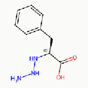 NNN[C@@H](Cc1ccccc1)C(=O)O